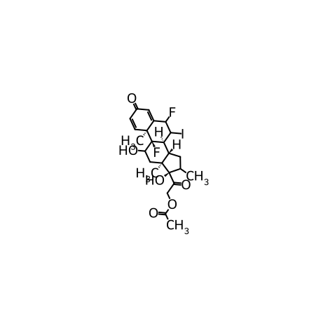 CC(=O)OCC(=O)[C@@]1(O)C(C)C[C@H]2[C@@H]3C(I)C(F)C4=CC(=O)C=C[C@]4(C)[C@@]3(F)C(O)C[C@@]21C